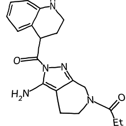 CCC(=O)N1CCc2c(nn(C(=O)C3CCNc4ccccc43)c2N)C1